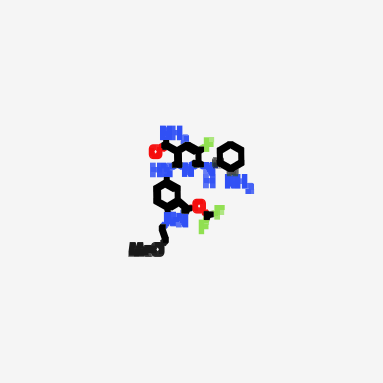 COCCn1nc(OC(F)F)c2cc(Nc3nc(N[C@@H]4CCCC[C@@H]4N)c(F)cc3C(N)=O)ccc21